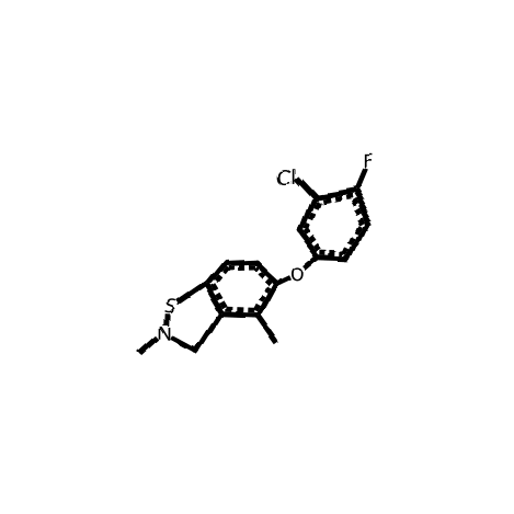 Cc1c(Oc2ccc(F)c(Cl)c2)ccc2c1CN(C)S2